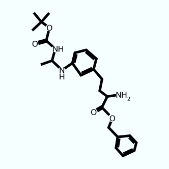 CC(NC(=O)OC(C)(C)C)Nc1cccc(CCC(N)C(=O)OCc2ccccc2)c1